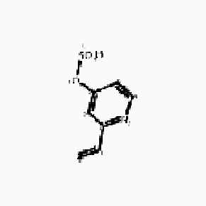 C=Cc1cc(OS(=O)(=O)O)ccn1